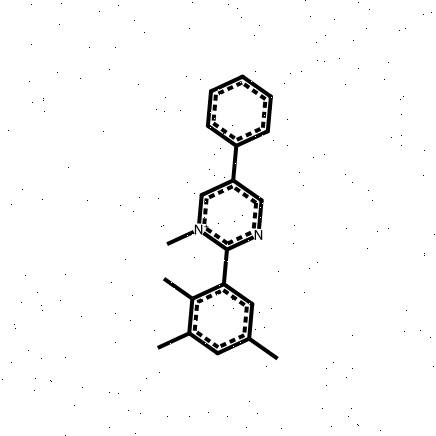 Cc1cc(C)c(C)c(-c2ncc(-c3ccccc3)c[n+]2C)c1